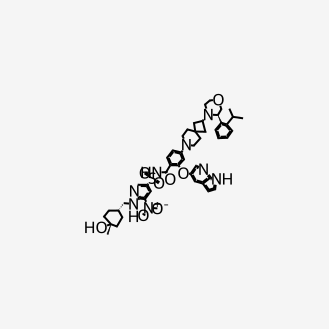 CC(C)c1ccccc1[C@@H]1COCCN1C1CC2(CCN(c3ccc(C(=O)NS(=O)(=O)c4cnc(NC[C@H]5CC[C@@](C)(O)CC5)c([N+](=O)[O-])c4)c(Oc4cnc5[nH]ccc5c4)c3)CC2)C1